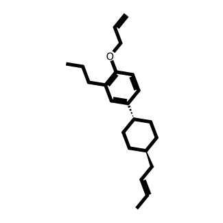 C=CCOc1ccc([C@H]2CC[C@H](CC=CC)CC2)cc1CCC